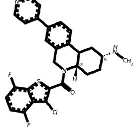 CN[C@@H]1CC[C@H]2C(C1)c1ccc(-c3ccncc3)cc1CN2C(=O)c1sc2c(F)ccc(F)c2c1Cl